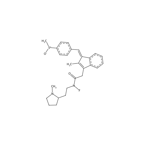 CC1=C(CC(=O)N(F)CCC2CCCN2C)c2ccccc2C1=Cc1ccc([S+](C)[O-])cc1